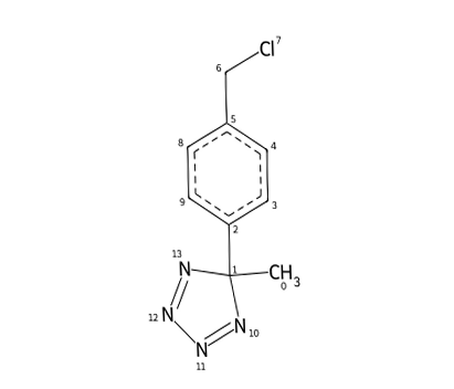 CC1(c2ccc(CCl)cc2)N=NN=N1